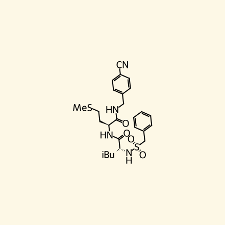 CC[C@@H](C)[C@@H](NS(=O)(=O)Cc1ccccc1)C(=O)N[C@@H](CCSC)C(=O)NCc1ccc(C#N)cc1